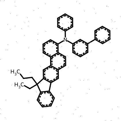 CCCC1(CC)c2ccccc2-c2cc3ccc4c(N(c5ccccc5)c5cccc(-c6ccccc6)c5)cccc4c3cc21